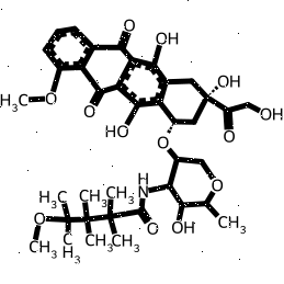 COc1cccc2c1C(=O)c1c(O)c3c(c(O)c1C2=O)C[C@@](O)(C(=O)CO)C[C@@H]3OC1COC(C)C(O)C1NC(=O)C(C)(C)C(C)(C)C(C)(C)OC